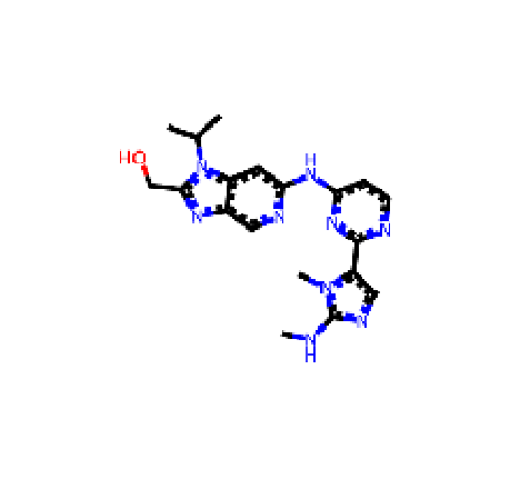 CNc1ncc(-c2nccc(Nc3cc4c(cn3)nc(CO)n4C(C)C)n2)n1C